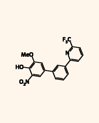 COc1cc(-c2cccc(-c3cccc(C(F)(F)F)n3)c2)cc([N+](=O)[O-])c1O